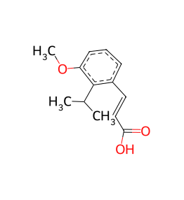 COc1cccc(/C=C/C(=O)O)c1C(C)C